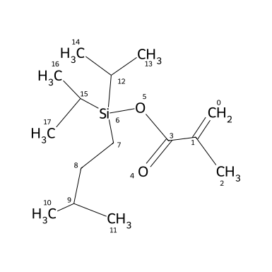 C=C(C)C(=O)O[Si](CCC(C)C)(C(C)C)C(C)C